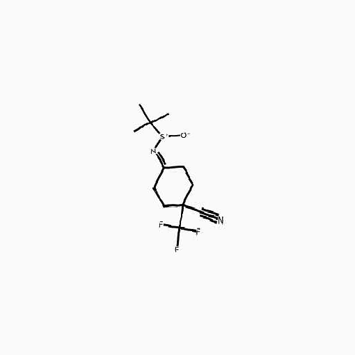 CC(C)(C)[S+]([O-])N=C1CCC(C#N)(C(F)(F)F)CC1